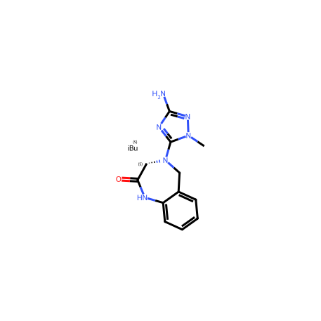 CC[C@H](C)[C@H]1C(=O)Nc2ccccc2CN1c1nc(N)nn1C